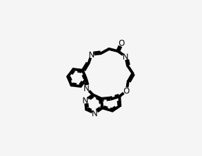 O=C1C/C=N/C=c2\cccc\c2=N/c2ncnc3ccc(cc23)O/C=C/C=N/1